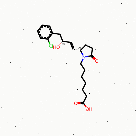 O=C(O)CCCCCCN1C(=O)CC[C@H]1C=C[C@H](O)Cc1ccccc1Cl